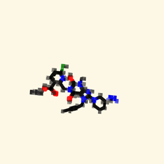 CC#CCn1c(N2CCC[C@@H](N)C2)nc2c1c(=O)n(Cc1nc(F)ccc1C(=O)OCCCCCC)c(=O)n2C